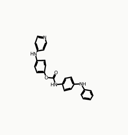 O=C(Nc1ccc(Nc2ccccc2)cc1)Oc1ccc(Nc2ccncc2)cc1